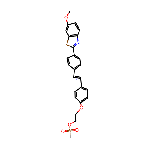 COc1ccc2nc(-c3ccc(/C=C/c4ccc(OCCOS(C)(=O)=O)cc4)cc3)sc2c1